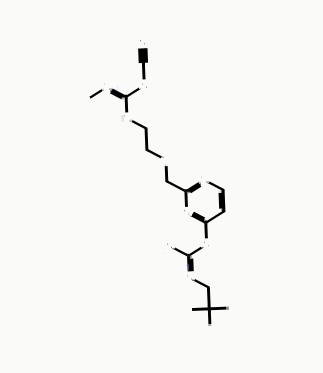 C/N=C(/NC#N)NCCSCc1nccc(N/C(N)=N\CC(F)(F)F)n1